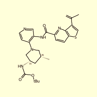 C=C(C)c1csc2ccc(C(=O)Nc3cnccc3N3C[C@H](C)C[C@H](NC(=O)OC(C)(C)C)C3)nc12